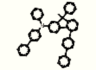 CC1(c2ccccc2)c2cc(N(c3ccccc3)c3ccc(-c4ccccc4)cc3)ccc2-c2c(-c3ccc(-c4ccccc4)cc3)cccc21